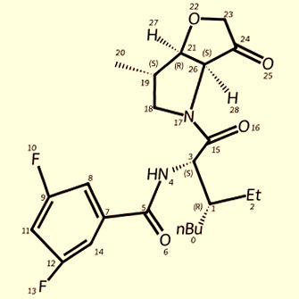 CCCC[C@@H](CC)[C@H](NC(=O)c1cc(F)cc(F)c1)C(=O)N1C[C@H](C)[C@H]2OCC(=O)[C@H]21